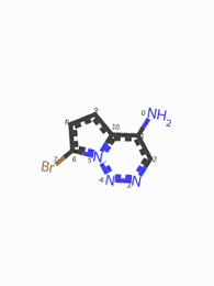 Nc1cnnn2c(Br)ccc12